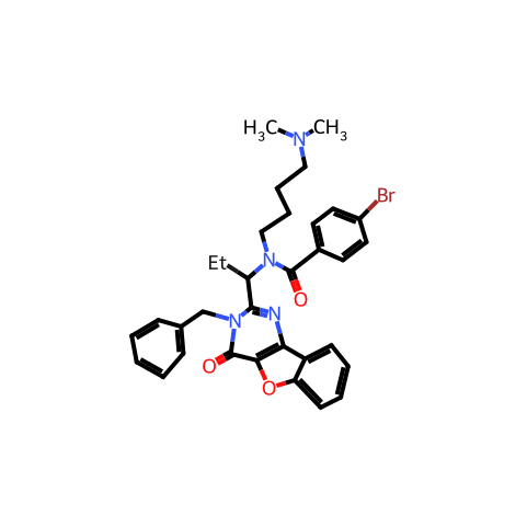 CCC(c1nc2c(oc3ccccc32)c(=O)n1Cc1ccccc1)N(CCCCN(C)C)C(=O)c1ccc(Br)cc1